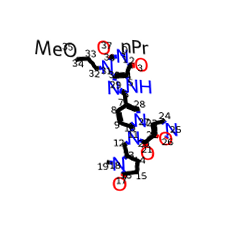 CCCn1c(=O)c2[nH]c(-c3ccc(N(CC4CCC(=O)N4C)C(=O)c4ccno4)nc3)nc2n(CCCOC)c1=O